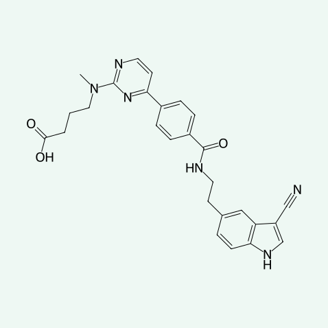 CN(CCCC(=O)O)c1nccc(-c2ccc(C(=O)NCCc3ccc4[nH]cc(C#N)c4c3)cc2)n1